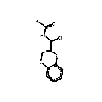 CC(NC([O])=O)C1COc2ccccc2O1